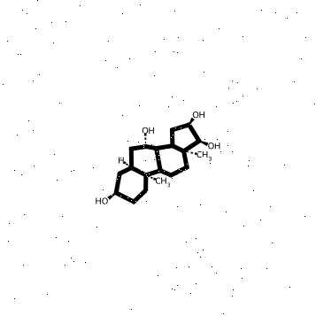 C[C@]12CCC3C(C1C[C@@H](O)[C@H]2O)[C@@H](O)C[C@@H]1C[C@H](O)CC[C@]31C